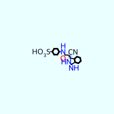 N#C/C(C(=O)Nc1ccc(S(=O)(=O)O)cc1)=C1/NC(=N)c2ccccc21